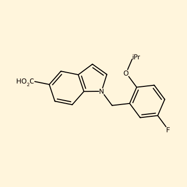 CC(C)Oc1ccc(F)cc1Cn1ccc2cc(C(=O)O)ccc21